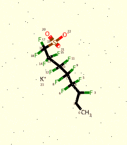 CCC(F)C(F)(F)C(F)(F)C(F)(F)C(F)(F)C(F)(F)S(=O)(=O)[O-].[K+]